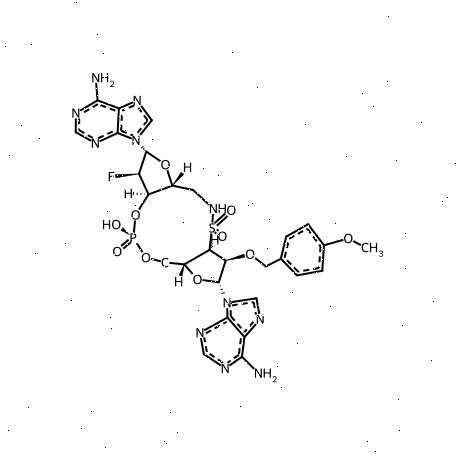 COc1ccc(CO[C@@H]2[C@H]3[C@@H](CO[P@@](=O)(O)O[C@H]4[C@@H](F)[C@H](n5cnc6c(N)ncnc65)O[C@@H]4CNS3(=O)=O)O[C@H]2n2cnc3c(N)ncnc32)cc1